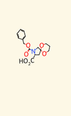 O=C(O)[C@@H]1CC2(CN1C(=O)OCc1ccccc1)OCCCO2